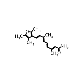 CC(C=Cc1c(C)oc(C)c1C)=CC=CC(C)=CC(N)=O